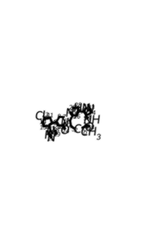 C[C@@H]1CCC[C@H](N2CCC(c3cc(Cl)ccc3-n3ccnn3)=CC2=O)c2cc(ccn2)-c2[nH]ncc2NC1=O